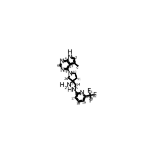 Cc1c[nH]c2ncnc(N3CC[C@](N)(CNc4cccc(C(F)(F)F)n4)C3)c12